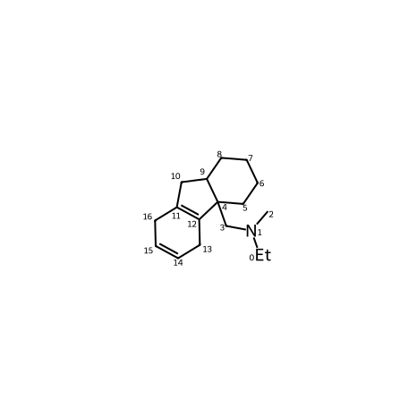 CCN(C)CC12CCCCC1CC1=C2CC=CC1